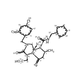 CC1CC(=O)N2[C@H](CN(Cc3ccc(Cl)cc3Cl)C(=O)[C@@H]2CC(=O)O)N1C(=O)NCc1ccccc1